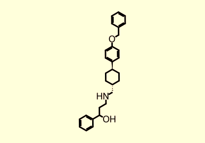 OC(CCNC[C@H]1CC[C@H](c2ccc(OCc3ccccc3)cc2)CC1)c1ccccc1